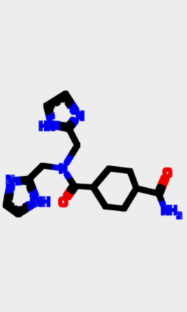 NC(=O)C1CCC(C(=O)N(Cc2ncc[nH]2)Cc2ncc[nH]2)CC1